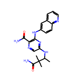 CC(Nc1cnc(C(N)=O)c(Nc2ccc3ncccc3c2)n1)C(C)(C)C(N)=O